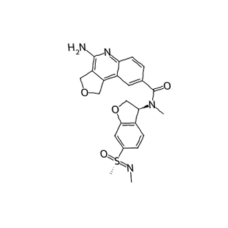 CN=[S@@](C)(=O)c1ccc2c(c1)OC[C@H]2N(C)C(=O)c1ccc2nc(N)c3c(c2c1)COC3